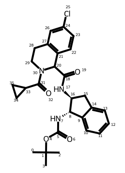 CC(C)(C)OC(=O)N[C@H]1c2ccccc2C[C@@H]1NC(=O)C1c2ccc(Cl)cc2CCN1C(=O)C1CC1